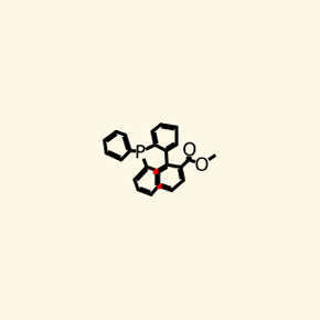 COC(=O)c1ccccc1-c1ccccc1P(c1ccccc1)c1ccccc1